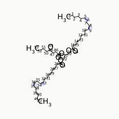 CCCCC/C=C\C/C=C\CCCCCCCC(=O)OCC(COC(=O)CCCCCCC/C=C\C/C=C\CCCCC)OC(=O)CCC(=O)CCCC